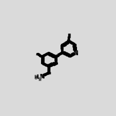 Cc1cncc(-c2cc(C)cc(CN)c2)c1